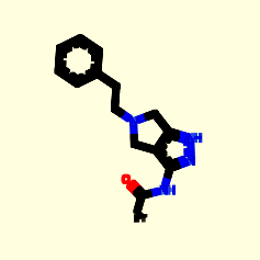 CC(C)C(=O)Nc1n[nH]c2c1CN(CCc1ccccc1)C2